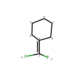 FC(F)=C1CCCCC1